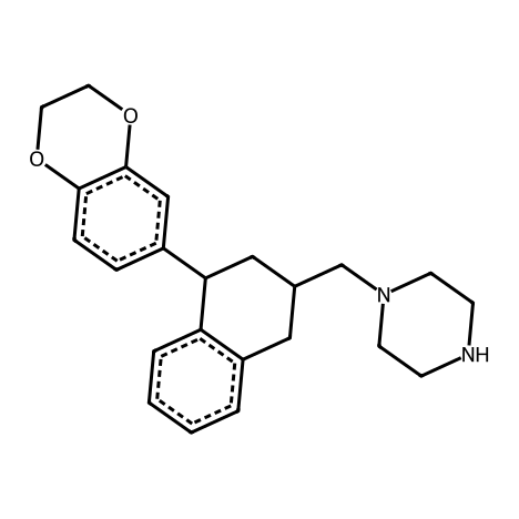 c1ccc2c(c1)CC(CN1CCNCC1)CC2c1ccc2c(c1)OCCO2